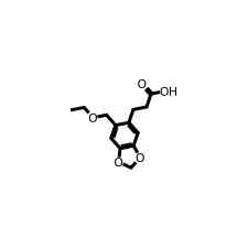 CCOCc1cc2c(cc1CCC(=O)O)OCO2